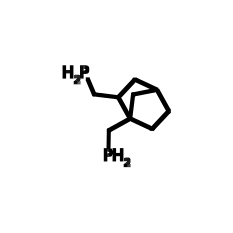 PCC1CC2CCC1(CP)C2